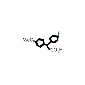 COc1ccc(C(CC(=O)O)c2ccc(F)cc2)cc1